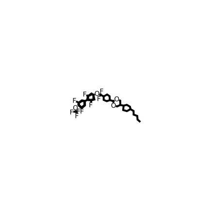 CCCCCC1CCC(C2COC(C3CCC(C(F)(F)Oc4cc(F)c(-c5cc(F)c(OC(F)(F)F)c(F)c5)c(F)c4)CC3)OC2)CC1